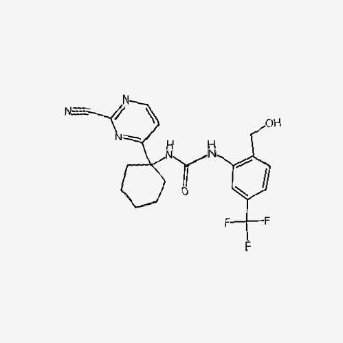 N#Cc1nccc(C2(NC(=O)Nc3cc(C(F)(F)F)ccc3CO)CCCCC2)n1